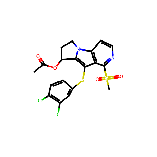 CC(=O)OC1CCn2c1c(Sc1ccc(Cl)c(Cl)c1)c1c(S(C)(=O)=O)nccc12